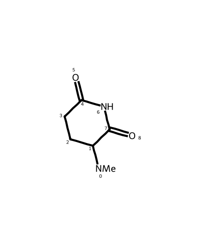 CNC1CCC(=O)NC1=O